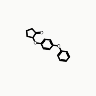 O=C1CCCC1Oc1ccc(Oc2ccccc2)cc1